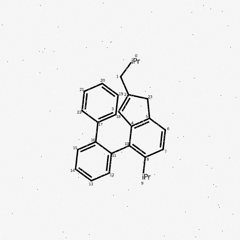 CC(C)CC1=Cc2c(ccc(C(C)C)c2-c2ccccc2-c2ccccc2)[CH]1